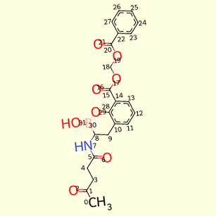 CC(=O)CCC(=O)NC1Cc2cccc(C(=O)OCOC(=O)c3ccccc3)c2OB1O